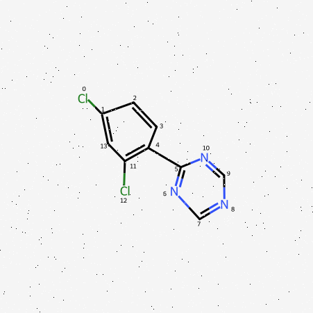 Clc1ccc(-c2ncncn2)c(Cl)c1